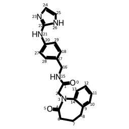 O=C(CN1C(=O)CC[C]c2ccccc21)NCc1ccc(Nc2ncc[nH]2)cc1